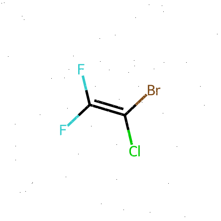 FC(F)=C(Cl)Br